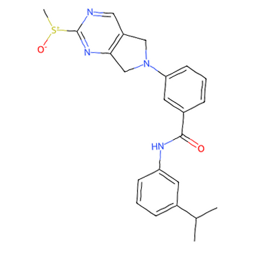 CC(C)c1cccc(NC(=O)c2cccc(N3Cc4cnc([S+](C)[O-])nc4C3)c2)c1